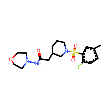 Cc1ccc(F)c(S(=O)(=O)N2CCCC(CC(=O)NN3CCOCC3)C2)c1